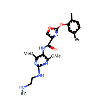 COc1nc(NCCNC(C)C)nc(OC)c1NC(=O)c1coc(Oc2cc(C(C)C)ccc2C)n1